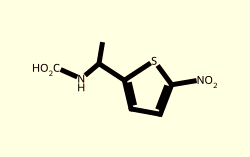 CC(NC(=O)O)c1ccc([N+](=O)[O-])s1